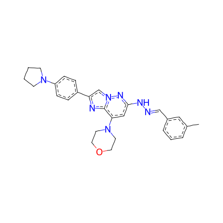 Cc1cccc(C=NNc2cc(N3CCOCC3)c3nc(-c4ccc(N5CCCC5)cc4)cn3n2)c1